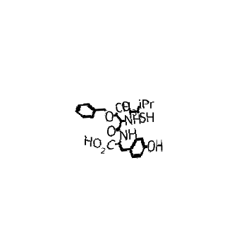 CC(C)C(S)C(=O)NC(C(=O)N[C@@H](Cc1ccc(O)cc1)C(=O)O)C(C)OCc1ccccc1